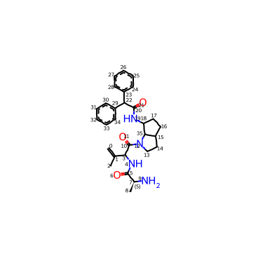 C=C(C)C(NC(=O)[C@H](C)N)C(=O)N1CCC2CCC(NC(=O)C(c3ccccc3)c3ccccc3)C21